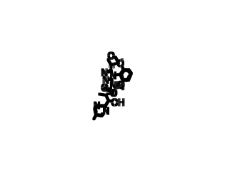 COc1cccc(OC)c1-n1c(NS(=O)(=O)C(C)C(O)c2ncc(C)cn2)nnc1[C@@H]1CCOC1